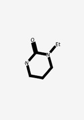 CCN1CCC[N]C1=O